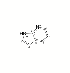 B1C=Cc2cccnc21